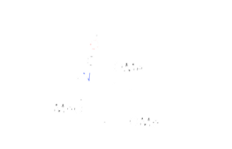 COc1cc(OC)c(N=C=O)c(OC)c1